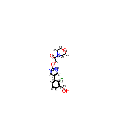 O=C(COc1ncc(-c2cccc(CO)c2F)cn1)N1CCOCC1